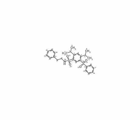 CC(C)c1cc(C(C)C)c(S(=O)(=O)c2ccccc2)cc1S(=O)(=O)NCCc1cccnc1